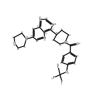 O=C(c1ccc(OC(F)(F)F)cc1)N1CCC(c2ncnc3cc(N4CCOCC4)cnc23)CC1